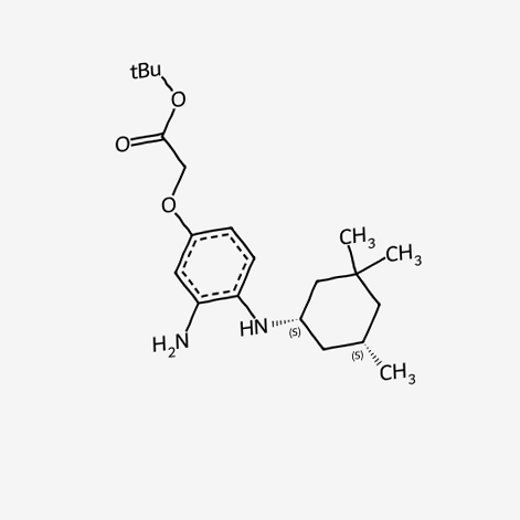 C[C@@H]1C[C@H](Nc2ccc(OCC(=O)OC(C)(C)C)cc2N)CC(C)(C)C1